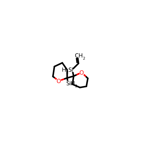 C=C[SiH2]C1(C2([SiH3])CCCCO2)CCCCO1